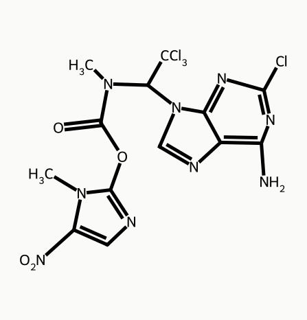 CN(C(=O)Oc1ncc([N+](=O)[O-])n1C)C(n1cnc2c(N)nc(Cl)nc21)C(Cl)(Cl)Cl